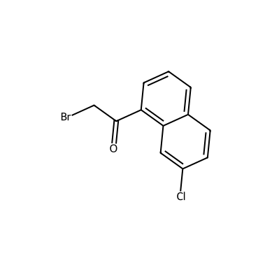 O=C(CBr)c1cccc2ccc(Cl)cc12